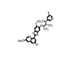 COc1cnc2c(-c3nc4cc(F)c(O[C@@H](C)[C@@H](C)N(C(=O)O)c5cncc(F)c5)cc4s3)cc(Cl)cc2c1